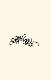 O=C(CN1CCSCC(NC(=O)c2cccc(C(F)(F)F)c2)C1=O)NC1CC(=O)OC1O